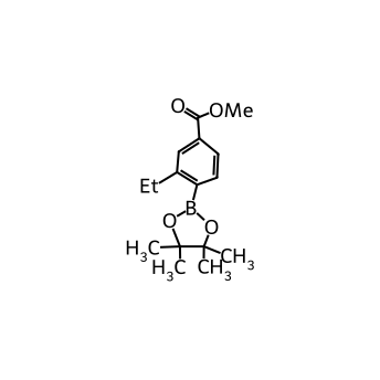 CCc1cc(C(=O)OC)ccc1B1OC(C)(C)C(C)(C)O1